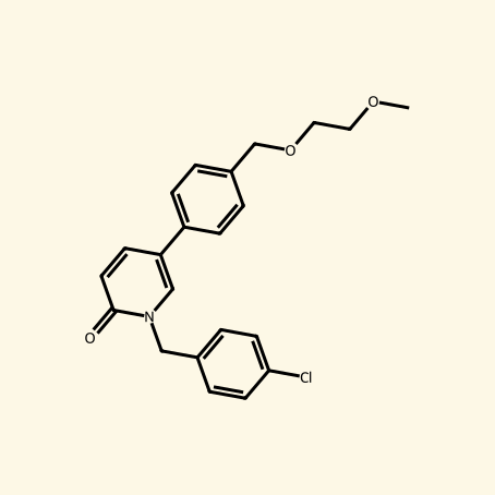 COCCOCc1ccc(-c2ccc(=O)n(Cc3ccc(Cl)cc3)c2)cc1